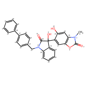 Cn1c(=O)oc2cc(C3(O)C(=O)N(Cc4ccc(-c5ccccc5)cc4)c4ccccc43)c(O)cc21